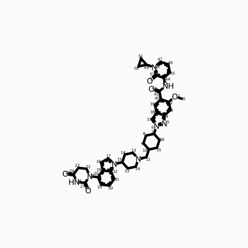 COc1cc2nn(C3CCC(CN4CCC(n5ccc6c(N7CCC(=O)NC7=O)cccc65)CC4)CC3)cc2cc1C(=O)Nc1cccn(C2CC2)c1=O